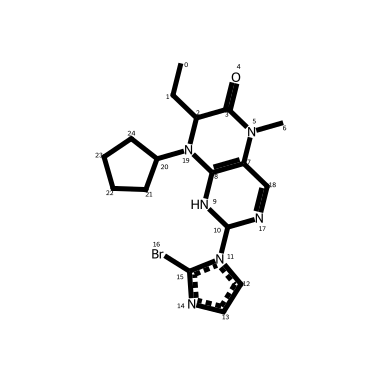 CCC1C(=O)N(C)C2=C(NC(n3ccnc3Br)N=C2)N1C1CCCC1